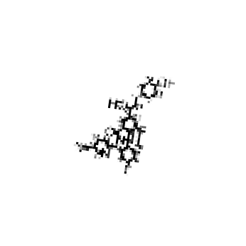 CO[C@]1(c2ccc(Cl)cc2)c2c(F)cc(C(O)CC[C@H]3CC[C@H](O)CC3)cc2C(=O)N1Cc1ccc(C#N)cn1